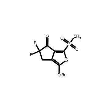 CC(C)COc1sc(S(C)(=O)=O)c2c1CC(F)(F)C2=O